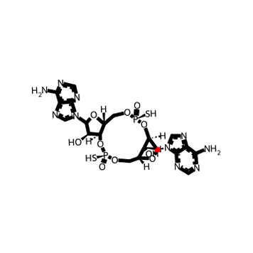 Nc1ncnc2c1ncn2C1O[C@@H]2CO[P@@](=O)(S)O[C@@H]3[C@H](O)[C@@H](CO[P@@](=O)(S)O[C@H]2[C@H]1O)O[C@H]3n1cnc2c(N)ncnc21